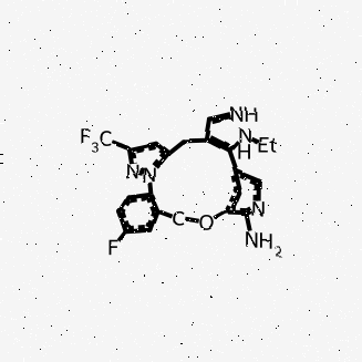 CCN/C1=C(\C=N)Cc2cc(C(F)(F)F)nn2-c2ccc(F)cc2COc2cc1cnc2N